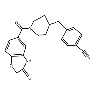 N#Cc1ccc(CC2CCN(C(=O)c3ccc4c(c3)NC(=O)CO4)CC2)cc1